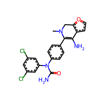 CN1Cc2occc2C(N)=C1c1ccc(N(C(N)=O)c2cc(Cl)cc(Cl)c2)cc1